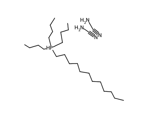 CCCCCCCCCCCC[PH](CCCC)(CCCC)CCCC.N#CN.N#CN